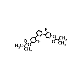 C=C(C)C(=O)Oc1ccc(-c2cccc(-c3ccc(OC(=O)C(=C)C)cc3F)c2)c(F)c1